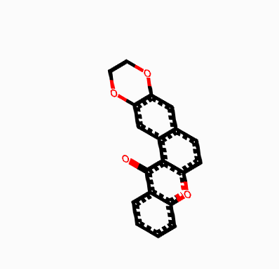 O=c1c2ccccc2oc2ccc3cc4c(cc3c12)OCCO4